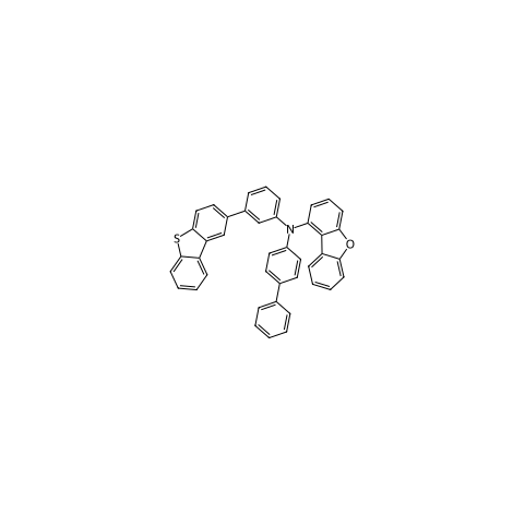 c1ccc(-c2ccc(N(c3cccc(-c4ccc5sc6ccccc6c5c4)c3)c3cccc4oc5ccccc5c34)cc2)cc1